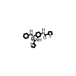 O=C(Nc1ccc(NNc2ccccc2)c(NC(=O)c2cccs2)c1)c1cccs1